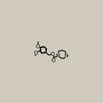 COc1ccc(COC(=O)N2CCC[N]CC2)cc1OC